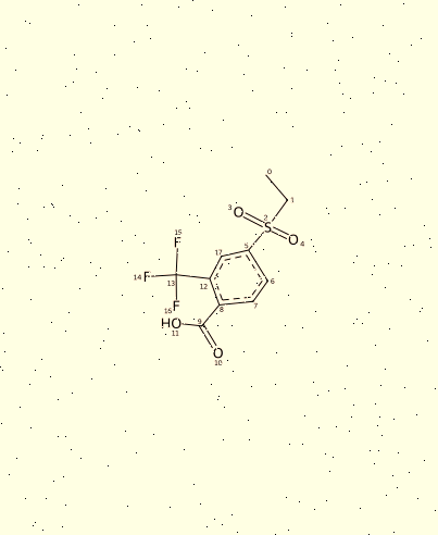 CCS(=O)(=O)c1ccc(C(=O)O)c(C(F)(F)F)c1